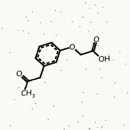 CC(=O)Cc1cccc(OCC(=O)O)c1